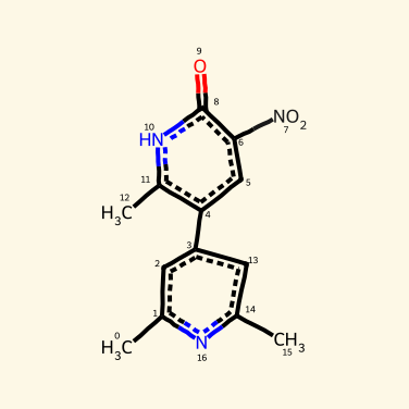 Cc1cc(-c2cc([N+](=O)[O-])c(=O)[nH]c2C)cc(C)n1